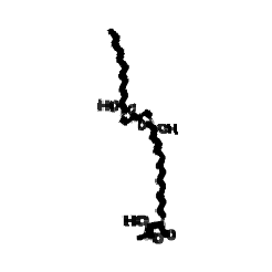 CCCCCCCCCC[C@@H](O)[C@H]1CC[C@H]([C@H]2CC[C@H]([C@H](O)CCCCCCCCCCCC[C@@H]3C(=O)O[C@@H](C)[C@@H]3O)O2)O1